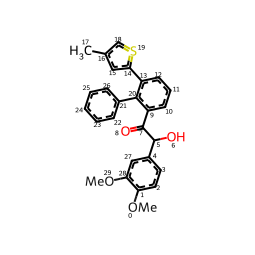 COc1ccc(C(O)C(=O)c2cccc(-c3cc(C)cs3)c2-c2ccccc2)cc1OC